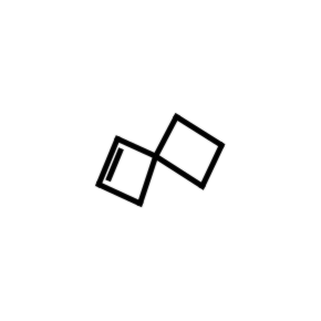 C1=CC2(C1)CCC2